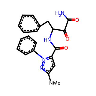 CNc1cc(C(=O)NC(Cc2ccccc2)C(=O)C(N)=O)n(-c2ccccc2)n1